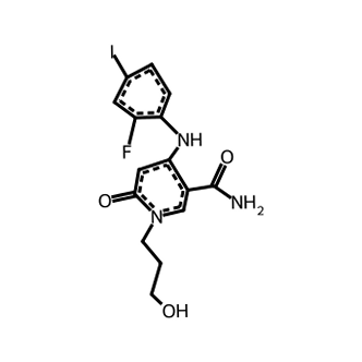 NC(=O)c1cn(CCCO)c(=O)cc1Nc1ccc(I)cc1F